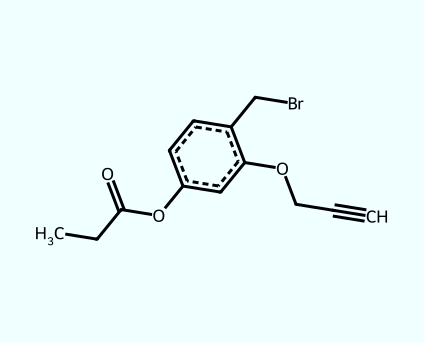 C#CCOc1cc(OC(=O)CC)ccc1CBr